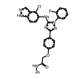 CC(C)NC(=O)COc1ccc(-c2nc(Nc3ccc4[nH]ncc4c3Cl)n(-c3ccccc3F)n2)cc1